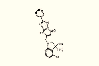 CCCCC1(C)CN(Cc2cc(=O)n3nc(-c4ccccc4)nc3[nH]2)c2cccc(Cl)c21